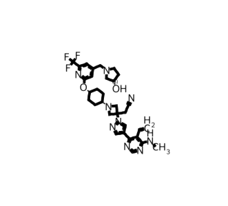 C=Cc1c(NC)ncnc1-c1cnn(C2(CC#N)CN([C@H]3CC[C@@H](Oc4cc(CN5CC[C@H](O)C5)cc(C(F)(F)F)n4)CC3)C2)c1